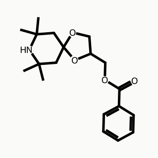 CC1(C)CC2(CC(C)(C)N1)OCC(COC(=O)c1ccccc1)O2